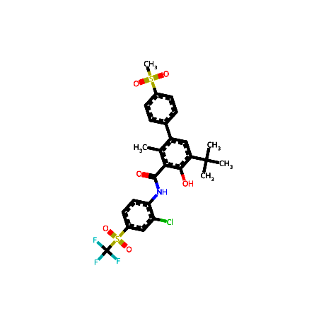 Cc1c(-c2ccc(S(C)(=O)=O)cc2)cc(C(C)(C)C)c(O)c1C(=O)Nc1ccc(S(=O)(=O)C(F)(F)F)cc1Cl